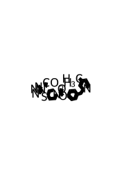 Cc1ccnc(Cc2ccc(OC(=O)N3CCC(Sc4nnnn4CC(=O)O)CC3)cc2)c1